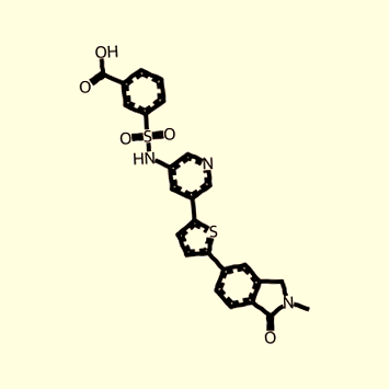 CN1Cc2cc(-c3ccc(-c4cncc(NS(=O)(=O)c5cccc(C(=O)O)c5)c4)s3)ccc2C1=O